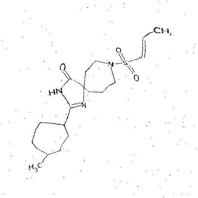 CC=CS(=O)(=O)N1CCC2(CC1)N=C(C1CCC(C)CC1)NC2=O